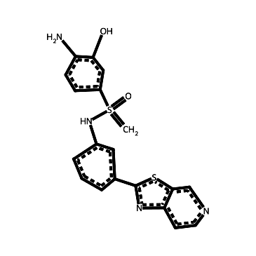 C=S(=O)(Nc1cccc(-c2nc3ccncc3s2)c1)c1ccc(N)c(O)c1